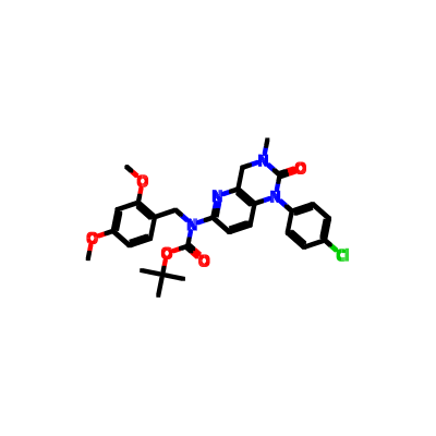 COc1ccc(CN(C(=O)OC(C)(C)C)c2ccc3c(n2)CN(C)C(=O)N3c2ccc(Cl)cc2)c(OC)c1